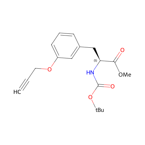 C#CCOc1cccc(C[C@H](NC(=O)OC(C)(C)C)C(=O)OC)c1